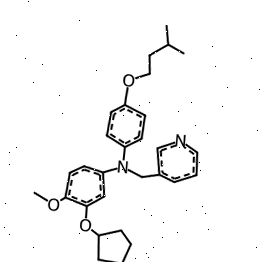 COc1ccc(N(Cc2cccnc2)c2ccc(OCCC(C)C)cc2)cc1OC1CCCC1